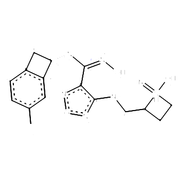 N=[SH]1(O)CCC1CNc1nonc1/C(=N\O)N[C@H]1Cc2ccc(F)cc21